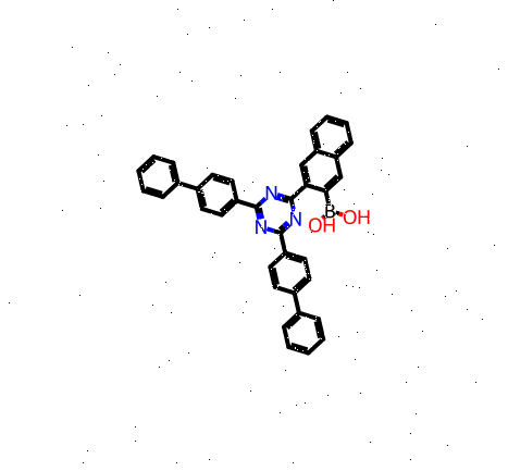 OB(O)c1cc2ccccc2cc1-c1nc(-c2ccc(-c3ccccc3)cc2)nc(-c2ccc(-c3ccccc3)cc2)n1